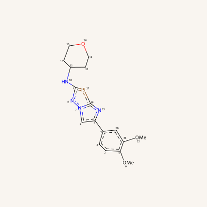 COc1ccc(-c2cn3nc(NC4CCOCC4)sc3n2)cc1OC